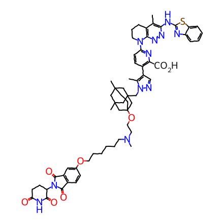 Cc1c(Nc2nc3ccccc3s2)nnc2c1CCCN2c1ccc(-c2cnn(CC34CC5(C)CC(C)(C3)CC(OCCN(C)CCCCCCOc3ccc6c(c3)C(=O)N(C3CCC(=O)NC3=O)C6=O)(C5)C4)c2C)c(C(=O)O)n1